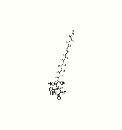 CCC=CCC=CCC=CCCCCCCCC(=O)C(O)n1cc(F)c(=O)[nH]c1=O